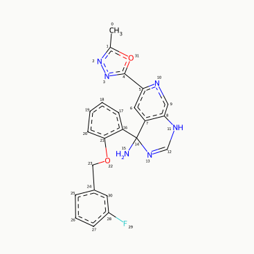 Cc1nnc(-c2cc3c(cn2)NC=NC3(N)c2ccccc2OCc2cccc(F)c2)o1